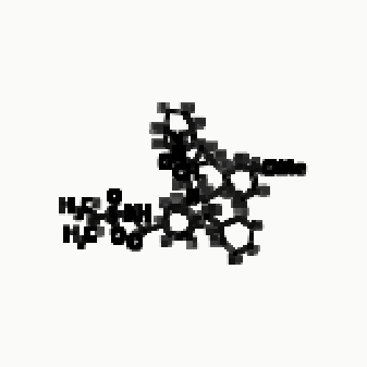 C=C(C)S(=O)(=O)NC(=O)c1ccc2c(C3CCCCC3)c3n(c2c1)CC1(C(=O)N2C4CCC2CN(C)C4)CC1c1cc(OC)ccc1-3